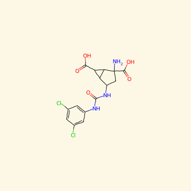 NC1(C(=O)O)CC(NC(=O)Nc2cc(Cl)cc(Cl)c2)C2C(C(=O)O)C21